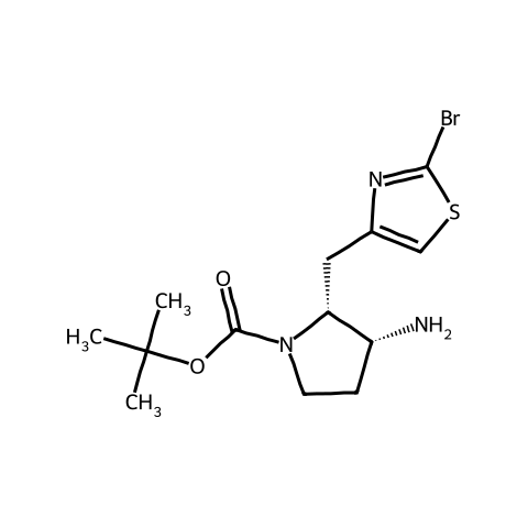 CC(C)(C)OC(=O)N1CC[C@@H](N)[C@H]1Cc1csc(Br)n1